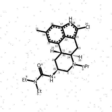 CCCN1C[C@@H](NC(=O)N(CC)CC)C[C@@H]2c3cc(C)cc4[nH]c(Cl)c(c34)C[C@H]21